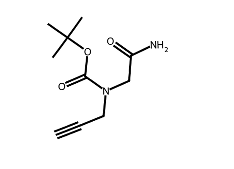 C#CCN(CC(N)=O)C(=O)OC(C)(C)C